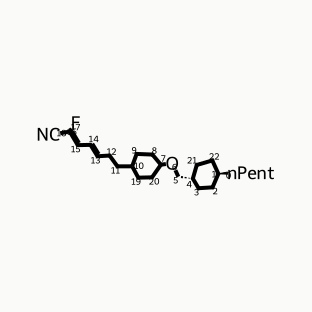 CCCCC[C@H]1CC[C@H](COC2CCC(CCC=CC=C(F)C#N)CC2)CC1